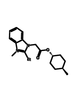 CCc1n(CC(=O)O[C@H]2CC[C@H](C)CC2)c2ccccc2[n+]1C